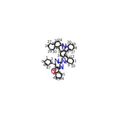 c1ccc(-c2nc(-n3c4ccccc4c4c5c6ccccc6n6c7ccc8ccccc8c7c(cc43)c56)nc3c2oc2ccccc23)cc1